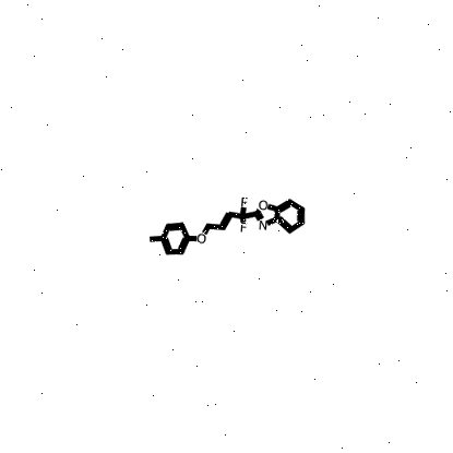 Cc1ccc(OCC=CC(F)(F)c2nc3ccccc3o2)cc1